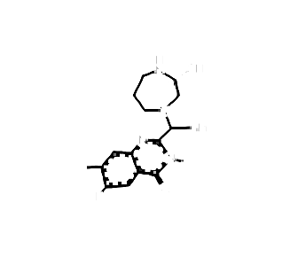 CCCC(c1nc2cc(F)c(F)cc2c(=O)n1CC)N1CCCN[C@H](C)C1